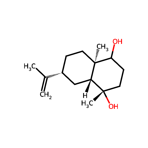 C=C(C)[C@@H]1CC[C@@]2(C)C(O)CC[C@](C)(O)[C@@H]2C1